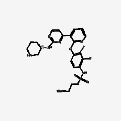 CC(C)(C)CCCS(=O)(=O)Nc1ccc(Oc2ncccc2-c2ccnc(N[C@H]3CCCNC3)n2)c(F)c1F